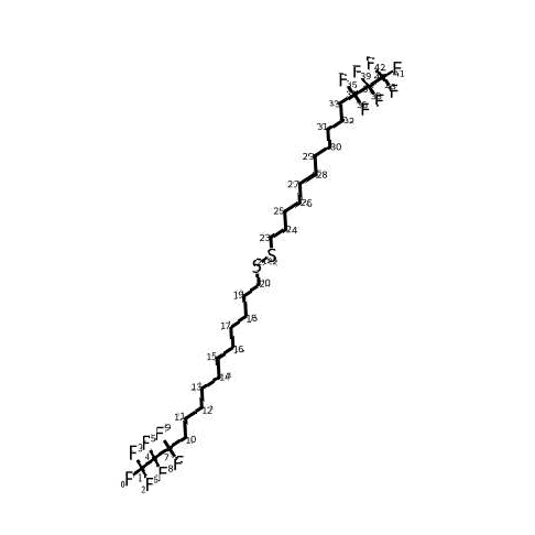 FC(F)(F)C(F)(F)C(F)(F)CCCCCCCCCCCSSCCCCCCCCCCCC(F)(F)C(F)(F)C(F)(F)F